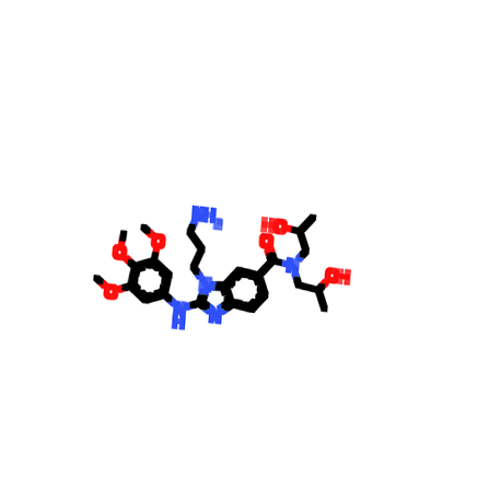 COc1cc(Nc2nc3ccc(C(=O)N(CC(C)O)CC(C)O)cc3n2CCCN)cc(OC)c1OC